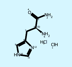 Cl.Cl.NC(=O)[C@@H](N)Cc1c[nH]cn1